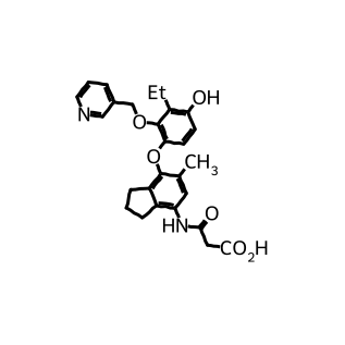 CCc1c(O)ccc(Oc2c(C)cc(NC(=O)CC(=O)O)c3c2CCC3)c1OCc1cccnc1